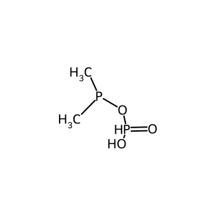 CP(C)O[PH](=O)O